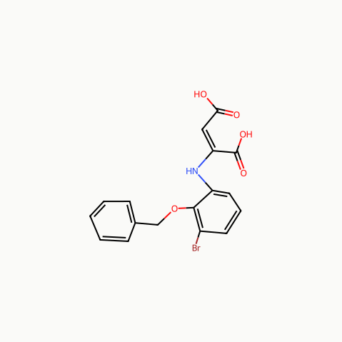 O=C(O)C=C(Nc1cccc(Br)c1OCc1ccccc1)C(=O)O